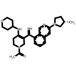 CC(=O)N1CCC(NC2CCOCC2)=C(C(=N)c2cccc3cc(N4CC[C@H](C)C4)ncc23)C1